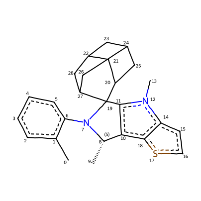 Cc1ccccc1N1[C@@H](C)c2c(n(C)c3ccsc23)C12C1CC3CC(C1)CC2C3